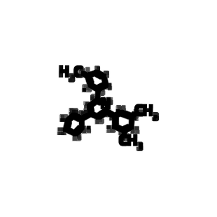 Cc1cccc(-c2cc(-c3ccccc3)cc(-c3cc(C)cc(C)c3)n2)c1